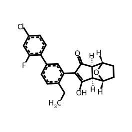 CCc1ccc(-c2ccc(Cl)cc2F)cc1C1=C(O)[C@H]2[C@@H](C1=O)[C@@H]1CC[C@H]2O1